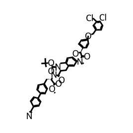 COC(=O)[C@H](Cc1ccc(-c2ccc(C#N)cc2)cc1)NC(=O)C1Cc2cc3c(cc2CN1C(=O)OC(C)(C)C)O[C@@H](c1ccc(OCc2ccc(Cl)c(Cl)c2)cc1)C(=O)N3C